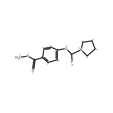 COC(=O)c1ccc(OC(F)N2CCCC2)cc1